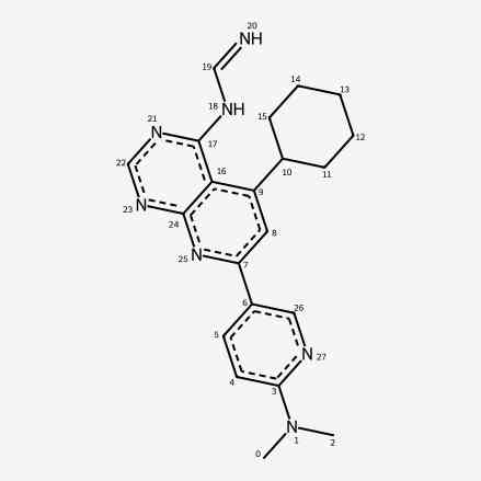 CN(C)c1ccc(-c2cc(C3CCCCC3)c3c(NC=N)ncnc3n2)cn1